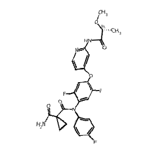 CO[C@H](C)C(=O)Nc1cc(Oc2cc(F)c(N(C(=O)C3(C(N)=O)CC3)c3ccc(F)cc3)cc2F)ccn1